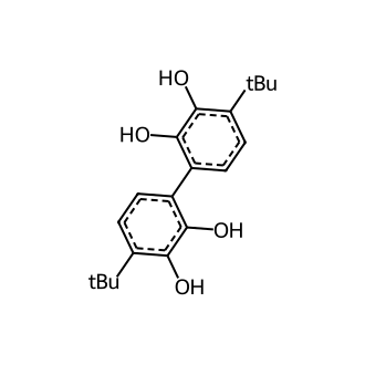 CC(C)(C)c1ccc(-c2ccc(C(C)(C)C)c(O)c2O)c(O)c1O